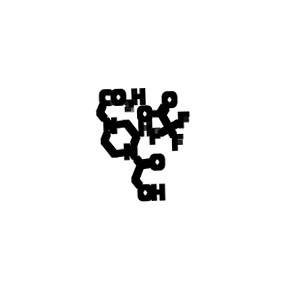 O=C(O)C(F)(F)F.O=C(O)CN1CCN(C(=O)CO)CC1